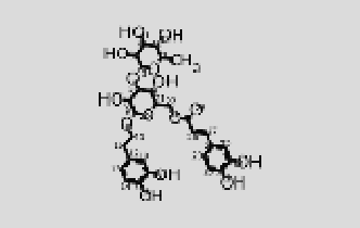 CC1O[C@@H](OC2C(O)[C@H](OCCc3ccc(O)c(O)c3)OC(COC(=O)/C=C/c3ccc(O)c(O)c3)[C@H]2O)C(O)C(O)[C@@H]1O